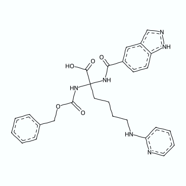 O=C(NC(CCCCNc1ccccn1)(NC(=O)c1ccc2[nH]ncc2c1)C(=O)O)OCc1ccccc1